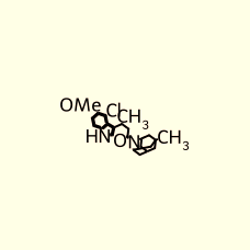 COc1ccc2[nH]cc(C(C)CC(=O)N3C4CC5CC3CC(C)(C5)C4)c2c1Cl